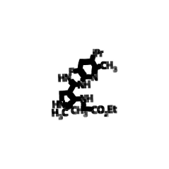 CCOC(=O)CNC1=C(C(=N)Nc2nc(C)c(C(C)C)cc2F)CNC1(C)C